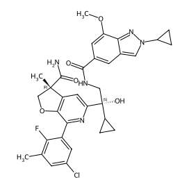 COc1cc(C(=O)NC[C@](O)(c2cc3c(c(-c4cc(Cl)cc(C)c4F)n2)OC[C@]3(C)C(N)=O)C2CC2)cc2cn(C3CC3)nc12